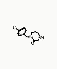 O=C1CNCCCN1Cc1ccc(Cl)cc1